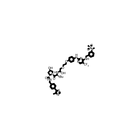 Cc1ncsc1-c1ccc(CNC(=O)[C@@H]2C[C@@H](O)CN2C(=O)[C@@H](NC(O)COCCOc2ccc(Nc3ncc(C(F)(F)F)c(NCc4cccc(N(C)S(C)(=O)=O)c4)n3)cc2)C(C)(C)C)cc1